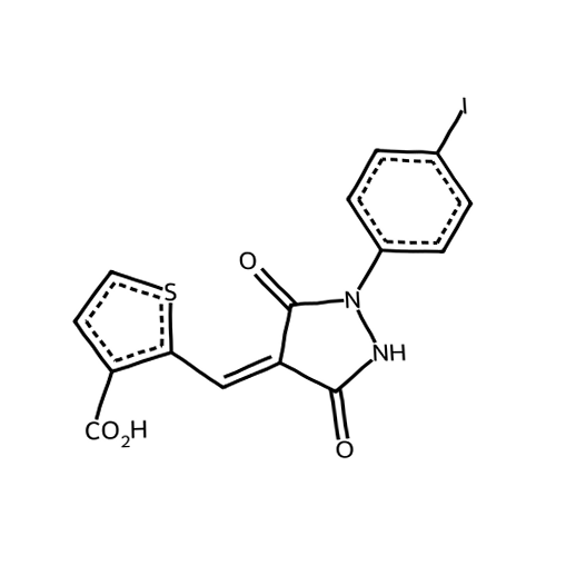 O=C1NN(c2ccc(I)cc2)C(=O)C1=Cc1sccc1C(=O)O